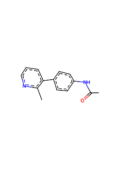 CC(=O)Nc1ccc(-c2cccnc2C)cc1